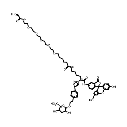 C=CC(=O)NCCOCCOCCOCCOCCOCCOCCC(=O)NCCCC[C@@H](C(=O)Nc1ccc2c(c1)C(=O)OC21c2ccc(O)cc2Oc2cc(O)ccc21)n1cc(-c2ccc(CCO[C@@H]3O[C@H](C(=O)O)C(O)CC3O)cc2)nn1